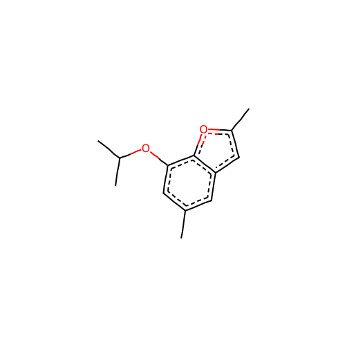 Cc1cc(OC(C)C)c2oc(C)cc2c1